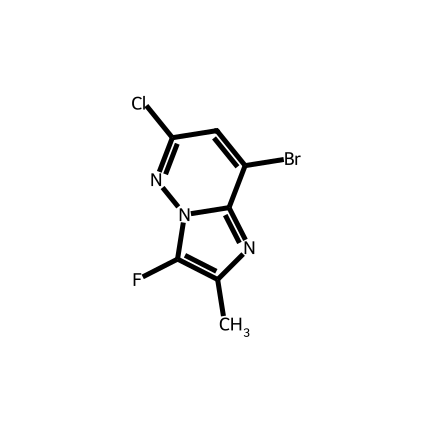 Cc1nc2c(Br)cc(Cl)nn2c1F